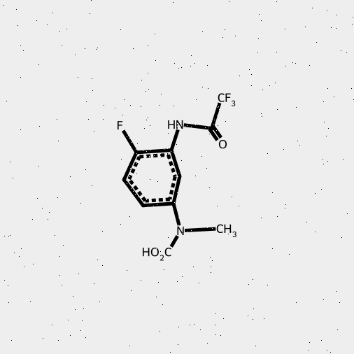 CN(C(=O)O)c1ccc(F)c(NC(=O)C(F)(F)F)c1